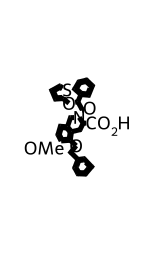 COc1ccc2c(c1OCc1ccccc1)CC(C(=O)O)N(C(=O)C(Oc1cccs1)c1ccccc1)C2